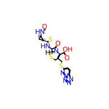 O=CN[C@@H]1C[C@@H]1C(=S)NC1C(=O)N2C(C(=O)O)=C(CSc3ccc4nnnn4n3)CS[C@@H]12